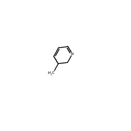 C[C]1C=CC=NC1